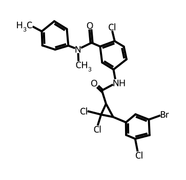 Cc1ccc(N(C)C(=O)c2cc(NC(=O)C3C(c4cc(Cl)cc(Br)c4)C3(Cl)Cl)ccc2Cl)cc1